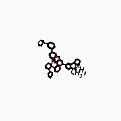 CC1(C)c2ccccc2-c2cc(-c3ccc(N(c4ccc(-c5cccc(-c6ccccc6)c5)cc4)c4cccc(-c5ccccc5)c4-c4ccccc4-c4ccccc4)cc3)ccc21